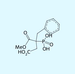 COC(=O)C(CC(=O)O)(Cc1ccccc1)P(=O)(O)O